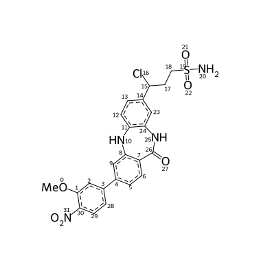 COc1cc(-c2ccc3c(c2)Nc2ccc(C(Cl)CCS(N)(=O)=O)cc2NC3=O)ccc1[N+](=O)[O-]